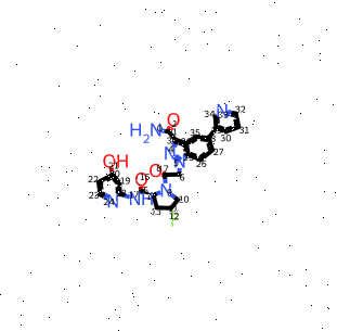 NC(=O)c1nn(CC(=O)N2C[C@H](F)C[C@H]2C(=O)Nc2cc(O)ccn2)c2ccc(-c3cccnc3)cc12